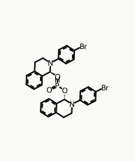 O=[PH](O[C@H]1c2ccccc2CCN1c1ccc(Br)cc1)O[C@H]1c2ccccc2CCN1c1ccc(Br)cc1